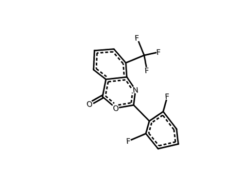 O=c1oc(-c2c(F)cccc2F)nc2c(C(F)(F)F)cccc12